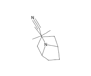 CC(C)(C)N1C2CCC1CC(C#N)C2